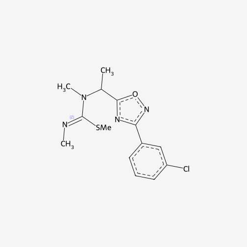 C/N=C(\SC)N(C)C(C)c1nc(-c2cccc(Cl)c2)no1